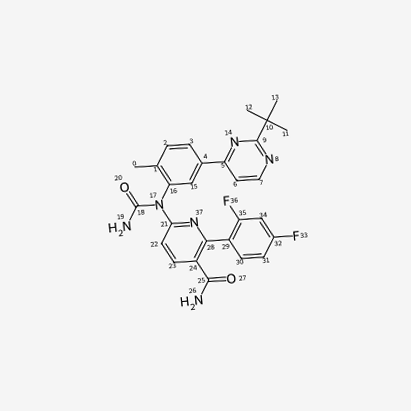 Cc1ccc(-c2ccnc(C(C)(C)C)n2)cc1N(C(N)=O)c1ccc(C(N)=O)c(-c2ccc(F)cc2F)n1